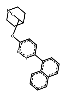 c1ccc2c(-c3ccc(OC4CN5CCC4CC5)nn3)cccc2c1